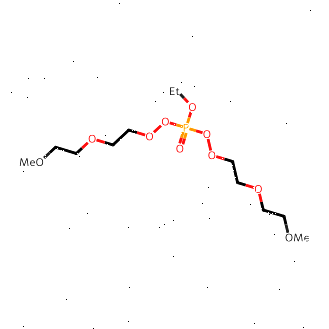 CCOP(=O)(OOCCOCCOC)OOCCOCCOC